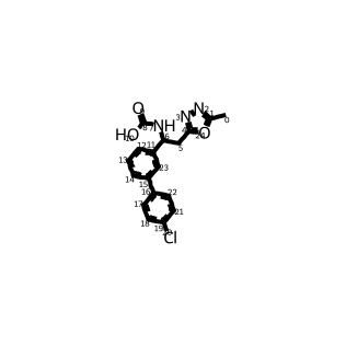 Cc1nnc(CC(NC(=O)O)c2cccc(-c3ccc(Cl)cc3)c2)o1